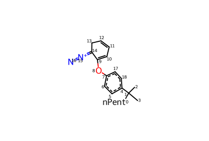 CCCCCC(C)(C)c1ccc(OC2=CC=CCC2=[N+]=[N-])cc1